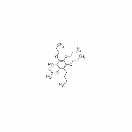 CCCCc1c(OC(=O)O)c(O)c(OCCC)c(OCCC)c1OCCC